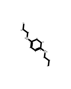 CCCOC1=[C]C=C(OCCC)[C]C1